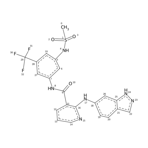 CS(=O)(=O)Nc1cc(NC(=O)c2cccnc2Nc2ccc3cn[nH]c3c2)cc(C(F)(F)F)c1